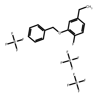 CCc1ccc(F)c(OCc2ccccc2)c1.F[B-](F)(F)F.F[B-](F)(F)F.F[B-](F)(F)F